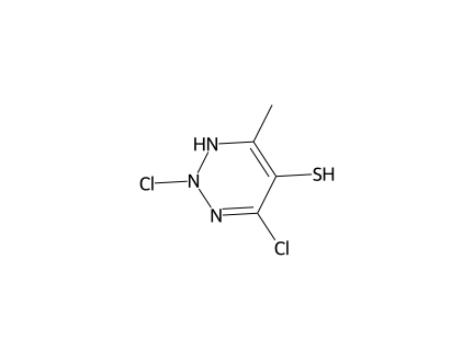 CC1=C(S)C(Cl)=NN(Cl)N1